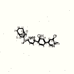 CN(c1ccc(-c2ccc(-c3cnn(C)c(=O)c3)cc2O)nn1)[C@@H]1C[C@]2(C)CCC[C@](C)(C1)N2